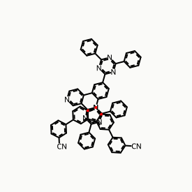 N#Cc1cccc(-c2ccc3c(c2)c2cc(-c4cccc(C#N)c4)ccc2n3-c2ccc(-c3nc(-c4ccccc4)nc(-c4ccccc4)n3)cc2-c2ccncc2-c2nc(-c3ccccc3)nc(-c3ccccc3)n2)c1